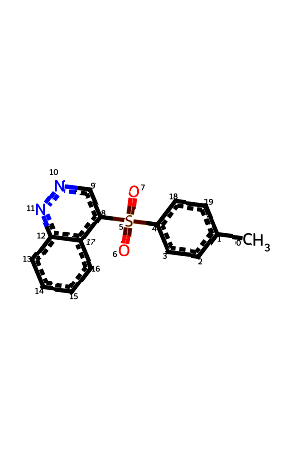 Cc1ccc(S(=O)(=O)c2cnnc3ccccc23)cc1